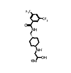 CC(C)(C)C(O)CN[C@H]1CC[C@H](CNC(=O)c2cc(C(F)(F)F)cc(C(F)(F)F)c2)CC1